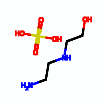 NCCNCCO.O=S(=O)(O)O